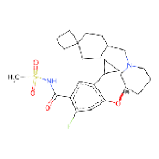 CS(=O)(=O)NC(=O)c1cc(C2CC2)c(O[C@@H]2CCCN(CC3CCC4(CCC4)CC3)C2)cc1F